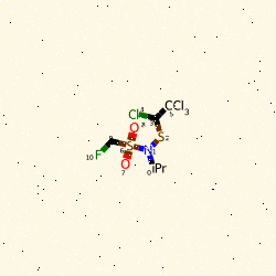 CC(C)N(SC(Cl)C(Cl)(Cl)Cl)S(=O)(=O)CF